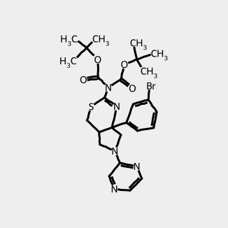 CC(C)(C)OC(=O)N(C(=O)OC(C)(C)C)C1=NC2(c3cccc(Br)c3)CN(c3cnccn3)CC2CS1